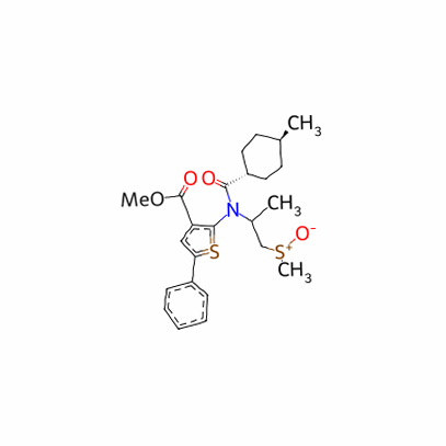 COC(=O)c1cc(-c2ccccc2)sc1N(C(=O)[C@H]1CC[C@H](C)CC1)C(C)C[S+](C)[O-]